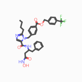 CCCCc1ncc(C(=O)NC(CC(=O)NO)Cc2ccccc2)n1Cc1ccc(C(=O)OCc2ccc(C(F)(F)F)cc2)cc1